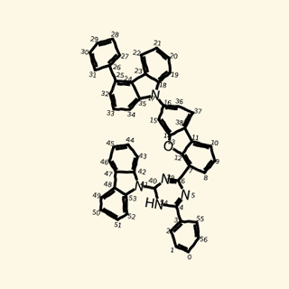 c1ccc(C2=NC(c3cccc4c3oc3cc(-n5c6ccccc6c6c(-c7ccccc7)cccc65)ccc34)=NC(n3c4ccccc4c4ccccc43)N2)cc1